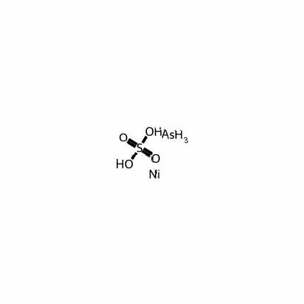 O=S(=O)(O)O.[AsH3].[Ni]